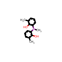 Cc1cccc(P(C)c2cccc(C)c2O)c1O